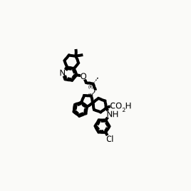 C[C@@H](COc1ccnc2c1CC(C)(C)CC2)C[C@H]1Cc2ccccc2C12CCC(Nc1cccc(Cl)c1)(C(=O)O)CC2